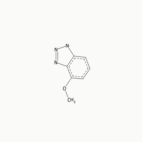 COc1cccc2c1N=N[N]2